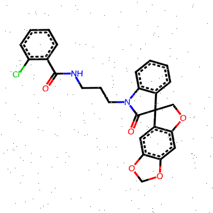 O=C(NCCCN1C(=O)C2(COc3cc4c(cc32)OCO4)c2ccccc21)c1ccccc1Cl